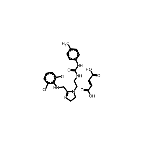 Cc1ccc(NC(=O)NCCN2CCN=C2CNc2c(Cl)cccc2Cl)cc1.O=C(O)C=CC(=O)O